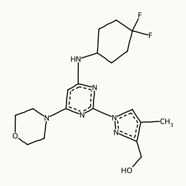 Cc1cn(-c2nc(NC3CCC(F)(F)CC3)cc(N3CCOCC3)n2)nc1CO